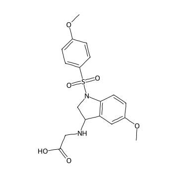 COc1ccc(S(=O)(=O)N2CC(NCC(=O)O)c3cc(OC)ccc32)cc1